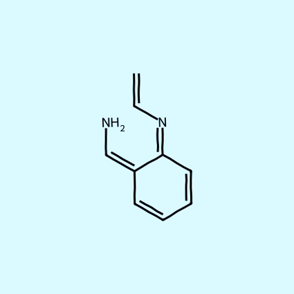 C=C/N=C1/C=CC=C/C1=C/N